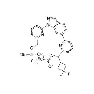 CC(C)(C)[S+]([O-])N[C@@H](c1cccc(-c2ccc3cnn(-c4cccc(CO[Si](C)(C)C(C)(C)C)n4)c3c2)n1)C1CC(F)(F)C1